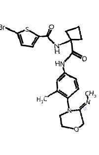 C/N=C1/COCCN1c1ccc(NC(=O)C2(NC(=O)c3ccc(Br)s3)CCC2)cc1C